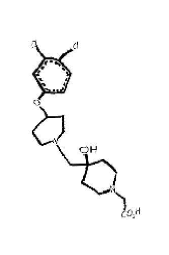 O=C(O)CN1CCC(O)(CN2CCC(Oc3ccc(Cl)c(Cl)c3)CC2)CC1